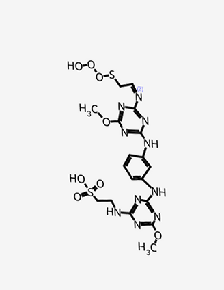 COc1nc(/N=C\CSOOO)nc(Nc2cccc(Nc3nc(NCCS(=O)(=O)O)nc(OC)n3)c2)n1